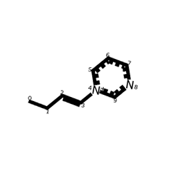 CCC=C[n+]1cccnc1